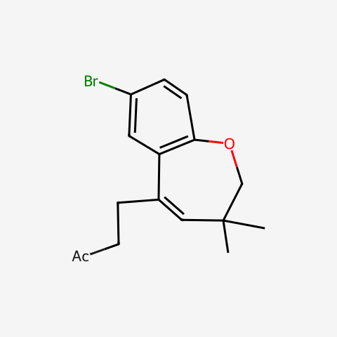 CC(=O)CCC1=CC(C)(C)COc2ccc(Br)cc21